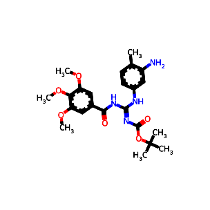 COc1cc(C(=O)N/C(=N/C(=O)OC(C)(C)C)Nc2ccc(C)c(N)c2)cc(OC)c1OC